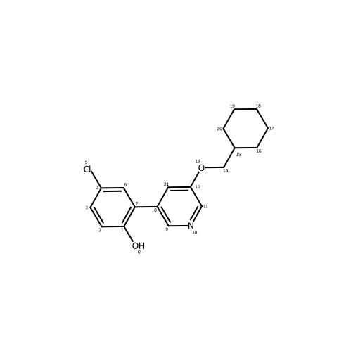 Oc1ccc(Cl)cc1-c1cncc(OCC2CCCCC2)c1